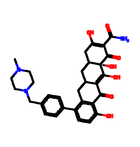 CN1CCN(Cc2ccc(-c3ccc(O)c4c3CC3CC5CC(O)=C(C(N)=O)C(=O)[C@@]5(O)C(O)=C3C4=O)cc2)CC1